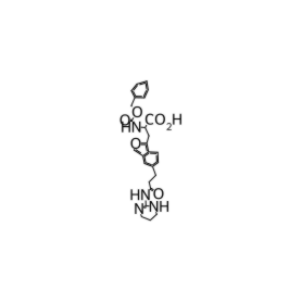 O=C(CCc1ccc2c(CC(NC(=O)OCc3ccccc3)C(=O)O)occ2c1)NC1=NCCCN1